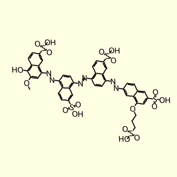 COc1cc(N=Nc2ccc(N=Nc3ccc(N=Nc4ccc5cc(S(=O)(=O)O)cc(OCCCS(=O)(=O)O)c5c4)c4cc(S(=O)(=O)O)ccc34)c3cc(S(=O)(=O)O)ccc23)c2cc(S(=O)(=O)O)ccc2c1O